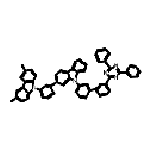 Cc1ccc2c(c1)c1cc(C)ccc1n2-c1cccc(-c2ccc3c4ccccc4n(-c4cccc(-c5cccc(-c6nc(-c7ccccc7)nc(-c7ccccc7)n6)c5)c4)c3c2)c1